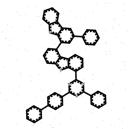 c1ccc(-c2ccc(-c3nc(-c4ccccc4)nc(-c4cccc5c4sc4cccc(-c6cc(-c7ccccc7)cc7c6sc6ccccc67)c45)n3)cc2)cc1